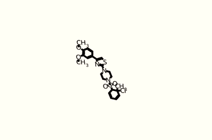 COc1ccc(-c2csc(N3CCN(S(=O)(=O)C4C=CC=CC4(C)Cl)CC3)n2)cc1OC